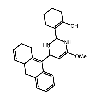 COC1=CC(C2=C3CCC=CC3Cc3ccccc32)NC(C2=C(O)CCCC2)N1